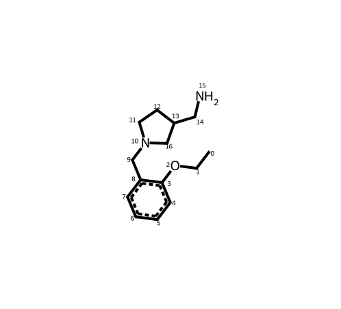 CCOc1ccccc1CN1CCC(CN)C1